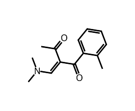 CC(=O)C(=CN(C)C)C(=O)c1ccccc1C